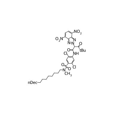 CCCCCCCCCCCCCCCCCCN(C)S(=O)(=O)c1cc(Cl)c(NC(=O)C(C(=O)C(C)(C)C)n2nc3c([N+](=O)[O-])ccc([N+](=O)[O-])c3n2)cc1Cl